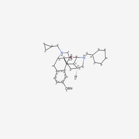 COc1ccc2c(c1)C13CCN(CC4CC4)C(C2)C12CCC1C3[C@@H](CN1CC1CCCCC1)C2